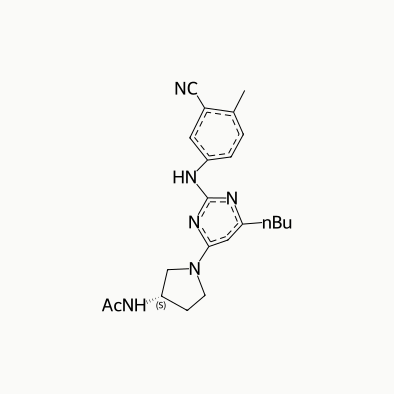 CCCCc1cc(N2CC[C@H](NC(C)=O)C2)nc(Nc2ccc(C)c(C#N)c2)n1